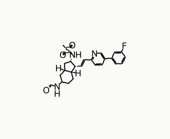 CS(=O)(=O)N[C@H]1C[C@H]2CC(NC=O)CC[C@H]2[C@@H]1/C=C/c1ccc(-c2cccc(F)c2)cn1